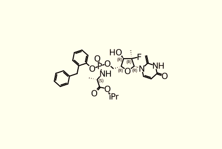 C=C1NC(=O)C=CN1[C@@H]1O[C@H](COP(=O)(N[C@@H](C)C(=O)OC(C)C)Oc2ccccc2Cc2ccccc2)[C@@H](O)[C@@]1(C)F